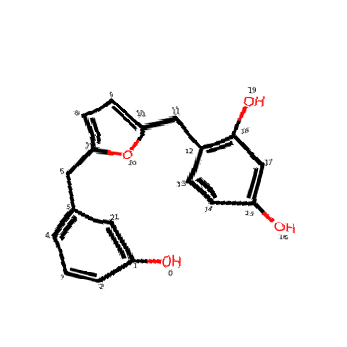 Oc1cccc(Cc2ccc(Cc3ccc(O)cc3O)o2)c1